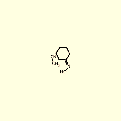 CC#N.ON=C1CCCCC1